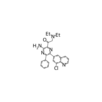 CCN(CC)CC(=O)c1nc(-c2cc(Cl)c3ncccc3c2)c(-c2ccccc2)nc1N